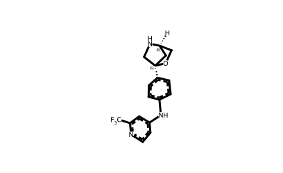 FC(F)(F)c1cc(Nc2ccc([C@@]34CN[C@@H](CO3)C4)cc2)ccn1